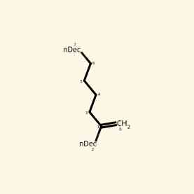 C=C(CCCCCCCCCC)CCCCCCCCCCCCCC